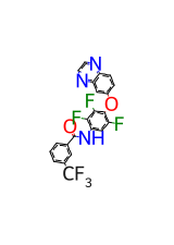 O=C(Nc1cc(F)c(Oc2ccc3nccnc3c2)c(F)c1F)c1cccc(C(F)(F)F)c1